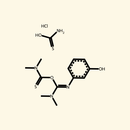 CN(C)C(=S)OC(=Nc1cccc(O)c1)N(C)C.Cl.NC(O)=S